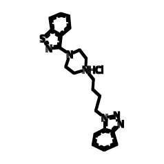 Cl.c1ccc2c(c1)nnn2CCCCN1CCN(c2nsc3ccccc23)CC1